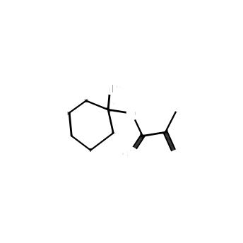 C=C(C)C(=O)OC1(C(C)C)CCCCC1